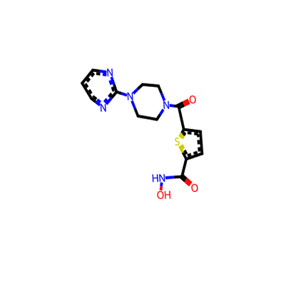 O=C(NO)c1ccc(C(=O)N2CCN(c3ncccn3)CC2)s1